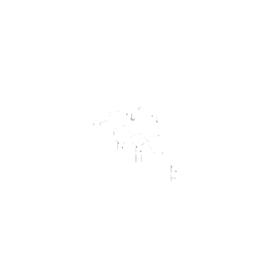 C[C@@H]1CCN(Cc2cccc(C3CN3)c2)C[C@@H]1n1ccc(=O)c2cnc3[nH]ccc3c21